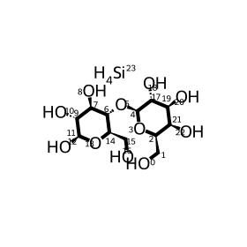 OC[C@H]1O[C@@H](O[C@H]2[C@H](O)[C@@H](O)[C@H](O)O[C@@H]2CO)[C@H](O)[C@@H](O)[C@H]1O.[SiH4]